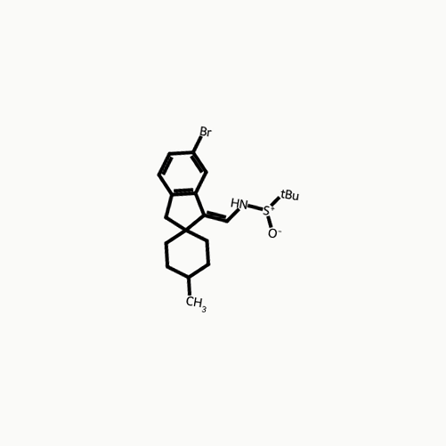 CC1CCC2(CC1)Cc1ccc(Br)cc1C2=CN[S+]([O-])C(C)(C)C